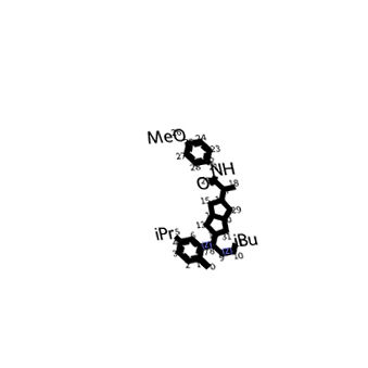 C=c1ccc(C(C)C)c/c1=C(/C=C\C(C)CC)C1CC2CC(C(C)C(=O)Nc3ccc(OC)cc3)CC2C1